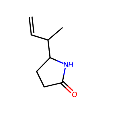 C=CC(C)C1CCC(=O)N1